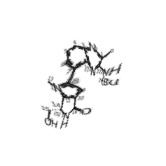 Cc1nc2cccc(-c3cc4c(n3C)[C@@H](CO)NC4=O)c2nc1NC(C)(C)C